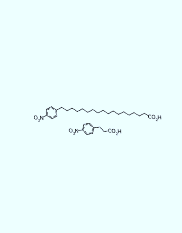 O=C(O)CCCCCCCCCCCCCCCCCc1ccc([N+](=O)[O-])cc1.O=C(O)CCc1ccc([N+](=O)[O-])cc1